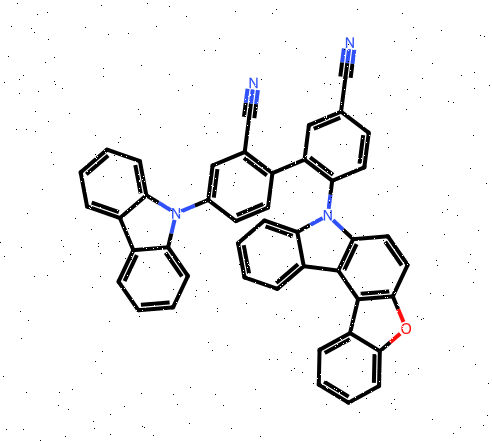 N#Cc1ccc(-n2c3ccccc3c3c4c(ccc32)oc2ccccc24)c(-c2ccc(-n3c4ccccc4c4ccccc43)cc2C#N)c1